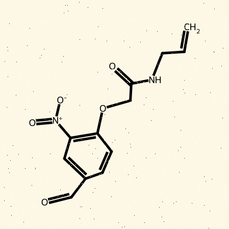 C=CCNC(=O)COc1ccc(C=O)cc1[N+](=O)[O-]